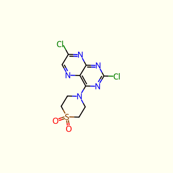 O=S1(=O)CCN(c2nc(Cl)nc3nc(Cl)cnc23)CC1